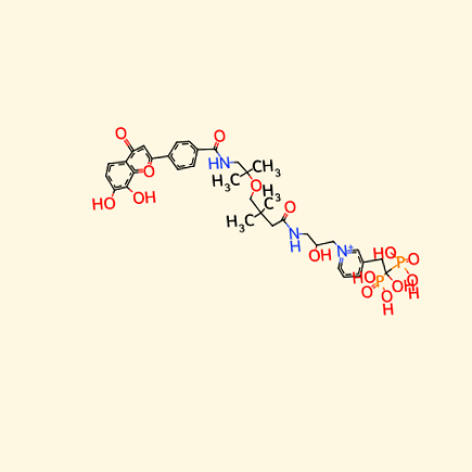 CC(C)(COC(C)(C)CNC(=O)c1ccc(-c2cc(=O)c3ccc(O)c(O)c3o2)cc1)CC(=O)NCC(O)C[n+]1cccc(CC(O)(P(=O)(O)O)P(=O)(O)O)c1